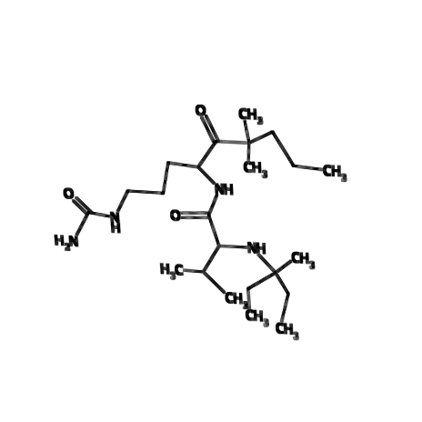 CCCC(C)(C)C(=O)C(CCCNC(N)=O)NC(=O)C(NC(C)(CC)CC)C(C)C